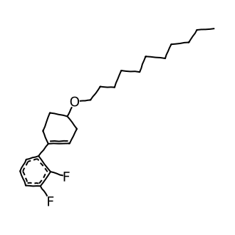 CCCCCCCCCCCOC1CC=C(c2cccc(F)c2F)CC1